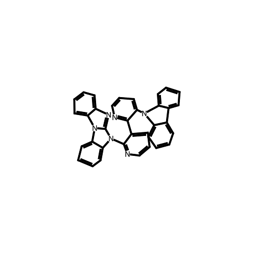 c1cnc(-n2c3ccccc3n3c4ccccc4nc23)c(-c2ncccc2-n2c3ccccc3c3ccccc32)c1